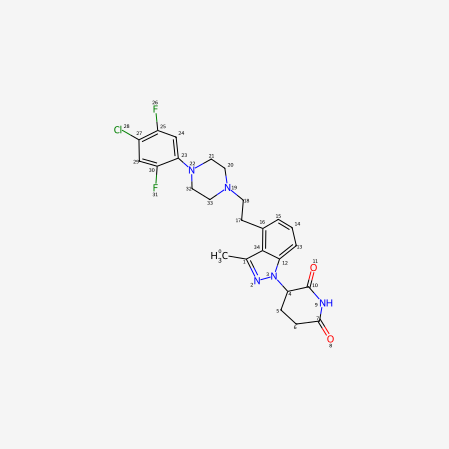 Cc1nn(C2CCC(=O)NC2=O)c2cccc(CCN3CCN(c4cc(F)c(Cl)cc4F)CC3)c12